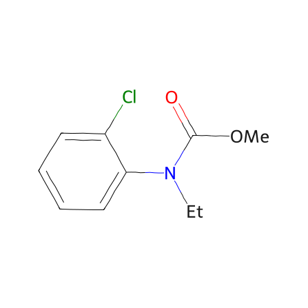 CCN(C(=O)OC)c1ccccc1Cl